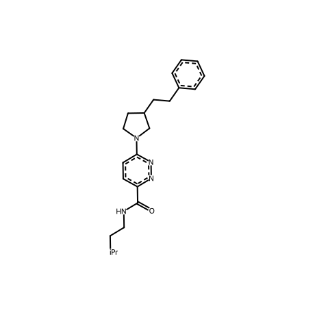 CC(C)CCNC(=O)c1ccc(N2CCC(CCc3ccccc3)C2)nn1